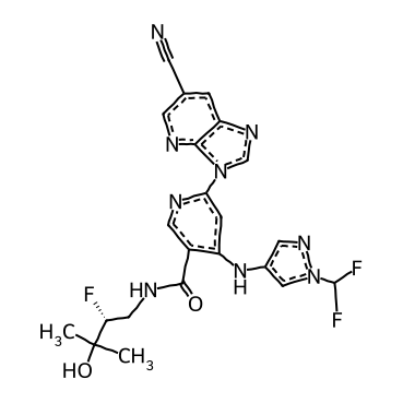 CC(C)(O)[C@H](F)CNC(=O)c1cnc(-n2cnc3cc(C#N)cnc32)cc1Nc1cnn(C(F)F)c1